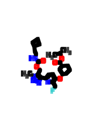 CC(C)OC(=O)[C@H]1CCC[C@H](Oc2ccc(-c3nnn(C)c3COC(=O)NCCC3CCC3)nc2CF)C1